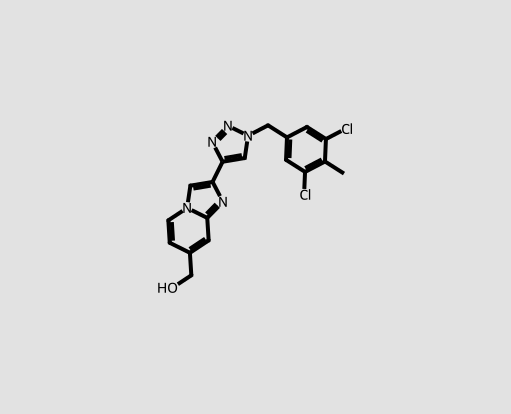 Cc1c(Cl)cc(Cn2cc(-c3cn4ccc(CO)cc4n3)nn2)cc1Cl